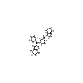 c1ccc(N(c2cccc(Oc3csc4ccccc34)c2)c2cc3ccccc3s2)cc1